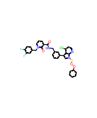 O=C(NCc1cccc(-c2cn(SOOc3ccccc3)c3nccc(Cl)c23)c1)c1cccn(Cc2ccc(F)c(F)c2)c1=O